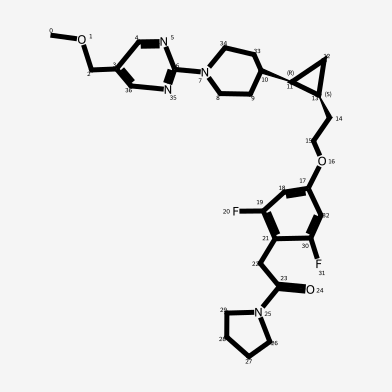 COCc1cnc(N2CCC([C@H]3C[C@H]3CCOc3cc(F)c(CC(=O)N4CCCC4)c(F)c3)CC2)nc1